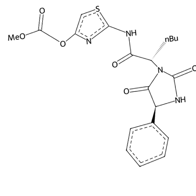 CCCC[C@@H](C(=O)Nc1nc(OC(=O)OC)cs1)N1C(=O)N[C@@H](c2ccccc2)C1=O